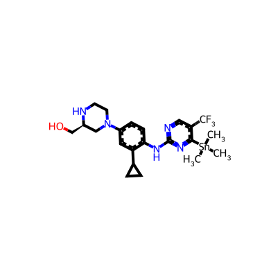 [CH3][Sn]([CH3])([CH3])[c]1nc(Nc2ccc(N3CCN[C@H](CO)C3)cc2C2CC2)ncc1C(F)(F)F